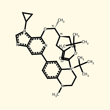 C[C@@H](Oc1nc(-c2ccc3c(c2)[N+](C(=O)OC(C)(C)C)(C(C)(C)C)CCN3C)cc2ncn(C3CC3)c12)[C@H]1CNC(=O)C1